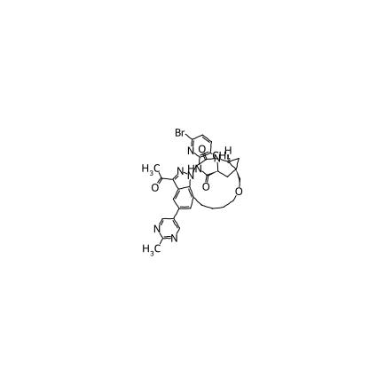 CC(=O)c1nn2c3c(cc(-c4cnc(C)nc4)cc13)CCCCOC[C@@]13C[C@@H](C(=O)Nc4nc(Br)ccc4C)N(C(=O)C2)[C@@H]1C3